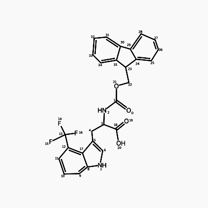 O=C(NC(Cc1c[nH]c2cccc(C(F)(F)F)c12)C(=O)O)OCC1c2ccccc2-c2ccccc21